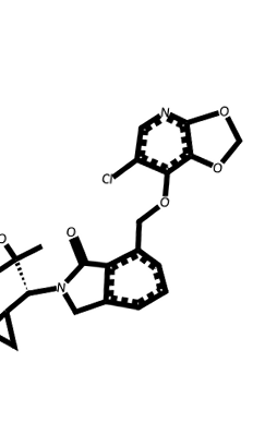 CC(C)(O)[C@@H](C1CC1)N1Cc2cccc(COc3c(Cl)cnc4c3OCO4)c2C1=O